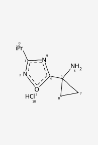 CC(C)c1noc(C2(N)CC2)n1.Cl